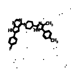 Cc1ccc(-c2[nH]c(C3CCN(c4ncnc5[nH]c(-c6ccc(F)cc6)cc45)CC3)nc2C)cc1